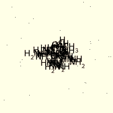 CC(=O)N[C@H](CS)C(=O)N[C@@H](C)C(=O)N[C@H](CCCNC(=N)N)C(=O)N[C@@H](CCCNC(=N)N)C(=O)N[C@H](CCCNC(=N)N)C(=O)N[C@@H](C)C(=O)N[C@H](CCCN=C(N)N)C(N)=O